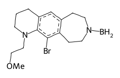 BN1CCc2cc3c(c(Br)c2CC1)N(CCOC)CCC3